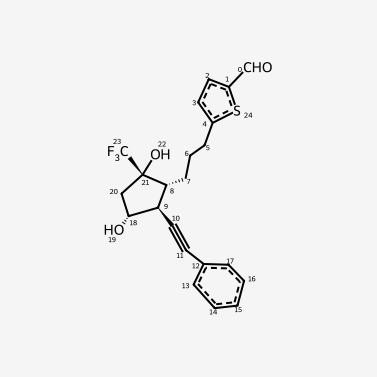 O=Cc1ccc(CCC[C@@H]2[C@@H](C#Cc3ccccc3)[C@H](O)C[C@@]2(O)C(F)(F)F)s1